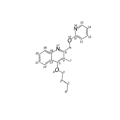 CCCCOc1c(C)c(COc2ccccn2)nc2ccccc12